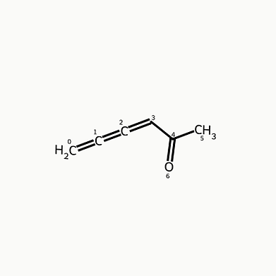 C=C=C=CC(C)=O